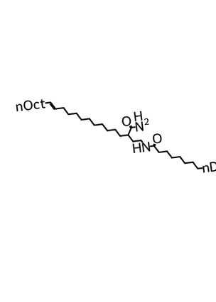 CCCCCCCCC=CCCCCCCCCCCC(CCNC(=O)CCCCCCCCCCCCCCCCC)C(N)=O